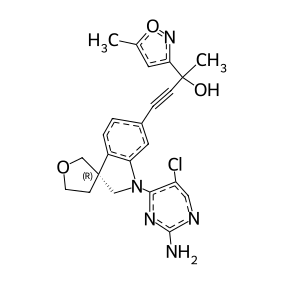 Cc1cc(C(C)(O)C#Cc2ccc3c(c2)N(c2nc(N)ncc2Cl)C[C@@]32CCOC2)no1